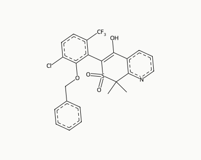 CC1(C)c2ncccc2C(O)=C(c2c(C(F)(F)F)ccc(Cl)c2OCc2ccccc2)S1(=O)=O